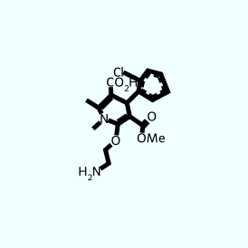 COC(=O)C1=C(OCCN)N(C)C(C)=C(C(=O)O)C1c1ccccc1Cl